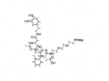 CC(=O)N[C@@H](CC(=O)NCCc1ccc(O)c(O)c1)C(=O)N[C@@H](Cc1ccccc1)C(=O)N[C@@H](CC(=O)O)C(=O)NCCOCCOCCN=[N+]=[N-]